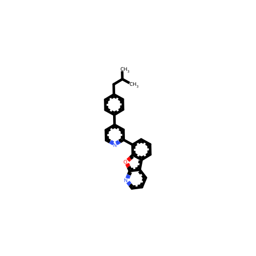 CC(C)Cc1ccc(-c2ccnc(-c3cccc4c3oc3ncccc34)c2)cc1